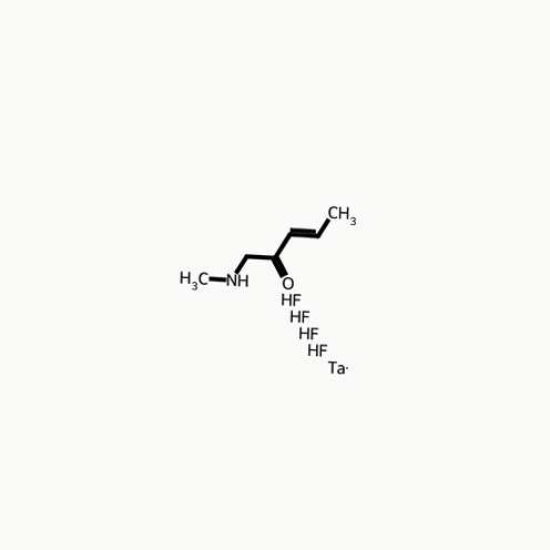 CC=CC(=O)CNC.F.F.F.F.[Ta]